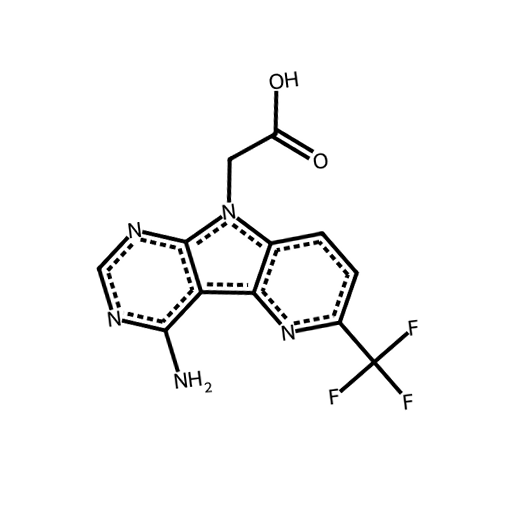 Nc1ncnc2c1c1nc(C(F)(F)F)ccc1n2CC(=O)O